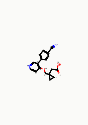 N#Cc1ccc(-c2cnccc2OCC2(CC(=O)O)CC2)cc1